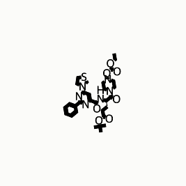 CCOC(=O)ON1CCN(C(=O)[C@H](CCC(=O)OC(C)(C)C)NC(=O)c2cc(N3CCSC3)nc(-c3ccccc3)n2)CC1